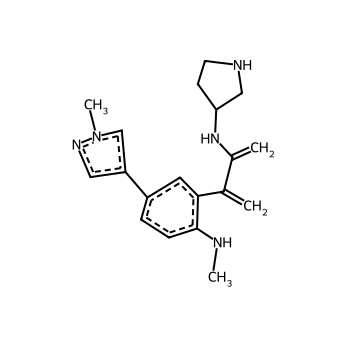 C=C(NC1CCNC1)C(=C)c1cc(-c2cnn(C)c2)ccc1NC